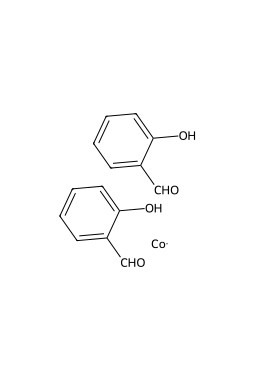 O=Cc1ccccc1O.O=Cc1ccccc1O.[Co]